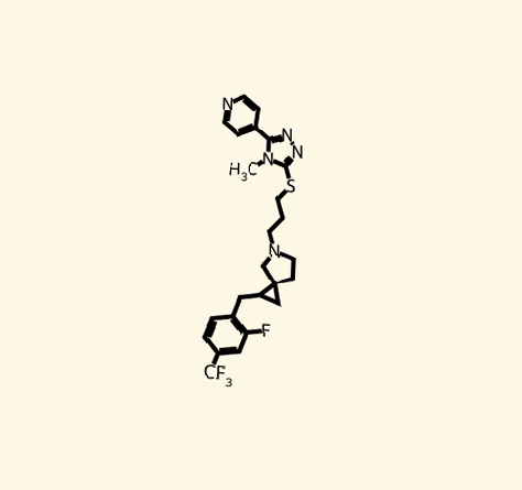 Cn1c(SCCCN2CC[C@]3(CC3Cc3ccc(C(F)(F)F)cc3F)C2)nnc1-c1ccncc1